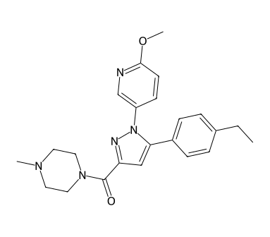 CCc1ccc(-c2cc(C(=O)N3CCN(C)CC3)nn2-c2ccc(OC)nc2)cc1